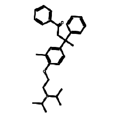 Cc1cc(C(C)(CC(=O)c2ccccc2)c2ccccc2)ccc1OCCN(C(C)C)C(C)C